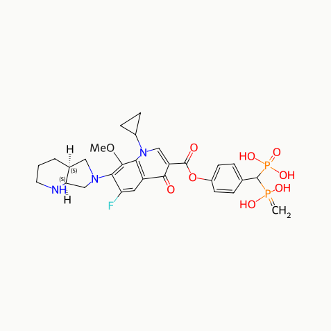 C=P(O)(O)C(c1ccc(OC(=O)c2cn(C3CC3)c3c(OC)c(N4C[C@@H]5CCCN[C@@H]5C4)c(F)cc3c2=O)cc1)P(=O)(O)O